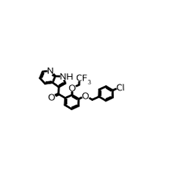 O=C(c1cccc(OCc2ccc(Cl)cc2)c1OCC(F)(F)F)c1c[nH]c2ncccc12